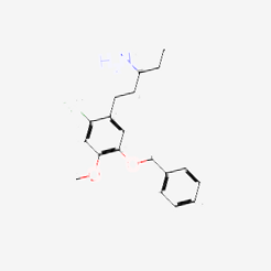 CCC(N)CCc1cc(OCc2ccccc2)c(OC)cc1Br